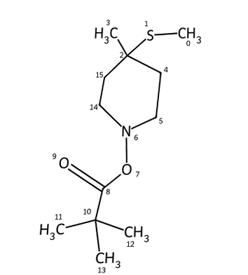 CSC1(C)CCN(OC(=O)C(C)(C)C)CC1